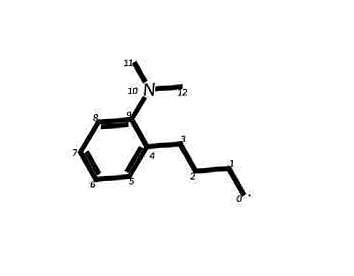 [CH2]CCCc1ccccc1N(C)C